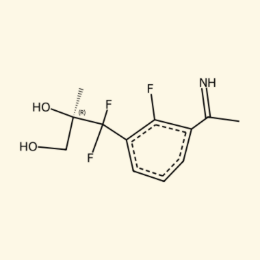 CC(=N)c1cccc(C(F)(F)[C@](C)(O)CO)c1F